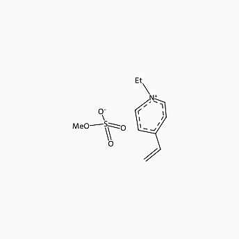 C=Cc1cc[n+](CC)cc1.COS(=O)(=O)[O-]